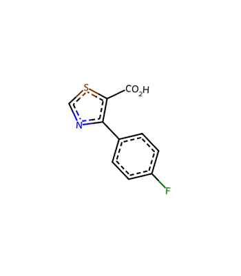 O=C(O)c1scnc1-c1ccc(F)cc1